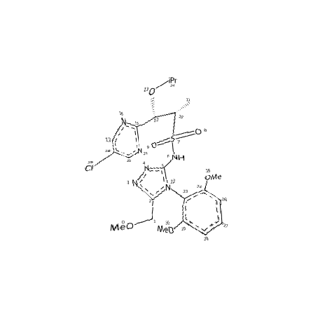 COCc1nnc(NS(=O)(=O)[C@@H](C)[C@@H](OC(C)C)c2ncc(Cl)cn2)n1-c1c(OC)cccc1OC